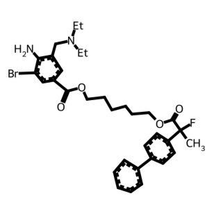 CCN(CC)Cc1cc(C(=O)OCCCCCCOC(=O)C(C)(F)c2ccc(-c3ccccc3)cc2)cc(Br)c1N